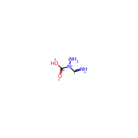 N=CN(N)C(=O)O